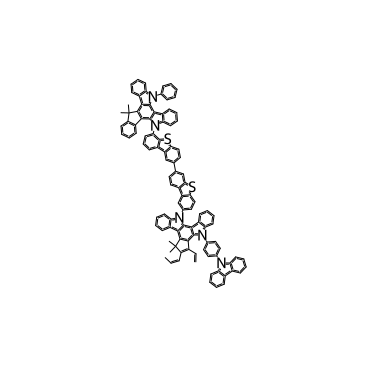 C=CC1=C(/C=C\C)C(C)(C)c2c1c1c(c3ccccc3n1-c1ccc(-n3c4ccccc4c4ccccc43)cc1)c1c2c2ccccc2n1-c1ccc2sc3cc(-c4ccc5sc6c(-n7c8ccccc8c8c7c7c(c9c%10ccccc%10n(-c%10ccccc%10)c98)C(C)(C)c8ccccc8-7)cccc6c5c4)ccc3c2c1